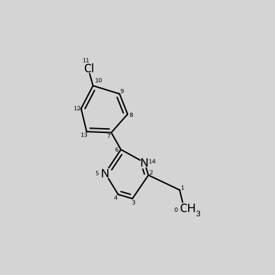 CCc1ccnc(-c2ccc(Cl)cc2)n1